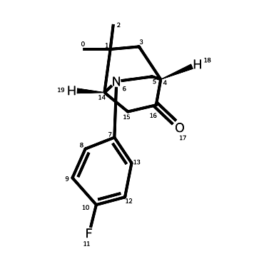 CC1(C)C[C@H]2CN(c3ccc(F)cc3)[C@@H]1CC2=O